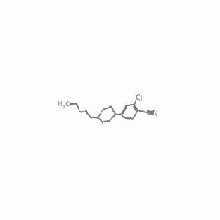 CCCCCC1CCC(c2ccc(C#N)c(Cl)c2)CC1